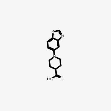 O=C(O)C1CCN(c2ccc3scnc3c2)CC1